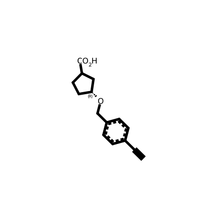 C#Cc1ccc(CO[C@@H]2CCC(C(=O)O)C2)cc1